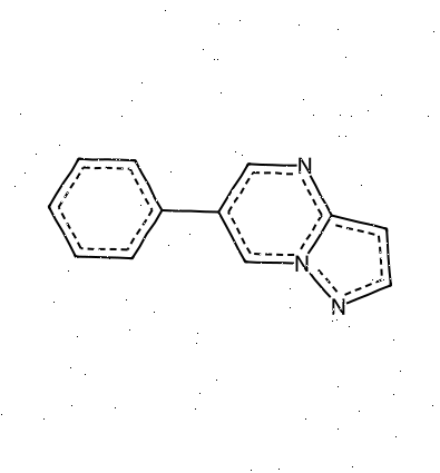 c1ccc(-c2cnc3ccnn3c2)cc1